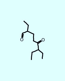 CCC(C=O)CCC(=O)C(CC)CC